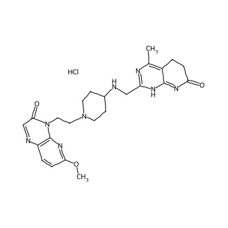 COc1ccc2ncc(=O)n(CCN3CCC(NCC4=NC(C)=C5CCC(=O)N=C5N4)CC3)c2n1.Cl